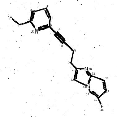 FCc1cccc(C#CCCc2cn3cc(F)ccc3n2)n1